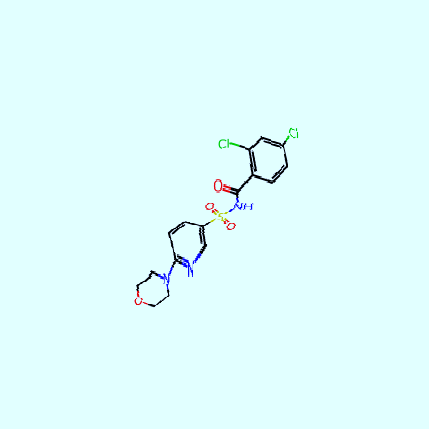 O=C(NS(=O)(=O)c1ccc(N2CCOCC2)nc1)c1ccc(Cl)cc1Cl